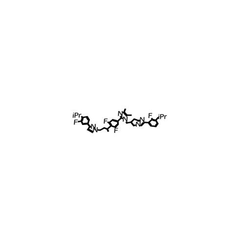 Cc1nc(-c2cc(F)c(C(C)CCn3ccc(-c4ccc(C(C)C)c(F)c4)n3)c(F)c2)n(CC2Cc3nc(-c4cccc(C(C)C)c4F)cn3C2)c1C